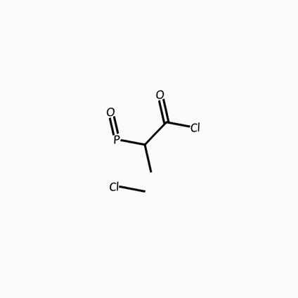 CC(P=O)C(=O)Cl.CCl